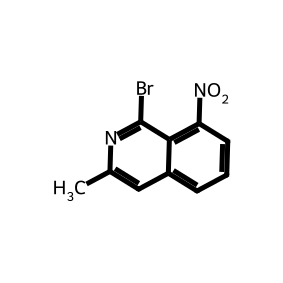 Cc1cc2cccc([N+](=O)[O-])c2c(Br)n1